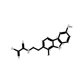 CCC(=O)C(=O)NCCc1ccc2c([nH]c3ccc(OC)cc32)c1C